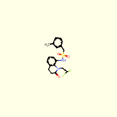 Cc1cccc(CS(=O)(=O)Nc2cccc3c2N(CC(F)F)C(=O)CC3)c1